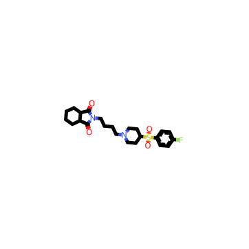 O=C1C2CCCCC2C(=O)N1CCCCN1CCC(S(=O)(=O)c2ccc(F)cc2)CC1